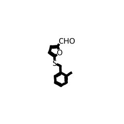 Cc1ccccc1CSc1ccc(C=O)o1